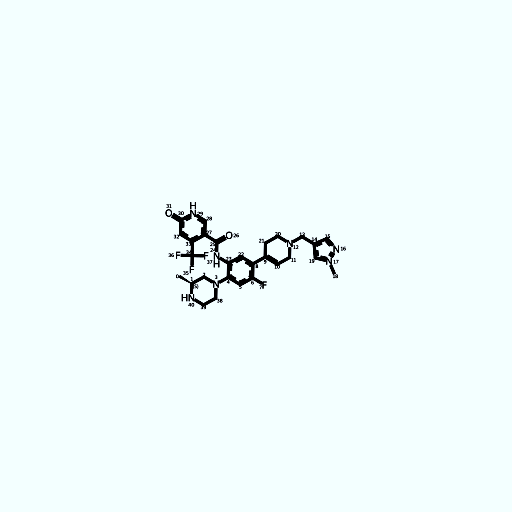 C[C@H]1CN(c2cc(F)c(C3=CCN(Cc4cnn(C)c4)CC3)cc2NC(=O)c2c[nH]c(=O)cc2C(F)(F)F)CCN1